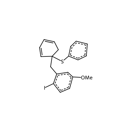 COc1ccc(I)c(CC2(Sc3ccccc3)C=CC=CC2)c1